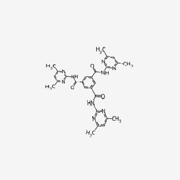 Cc1cc(C)nc(NC(=O)c2cc(C(=O)Nc3nc(C)cc(C)n3)cc(C(=O)Nc3nc(C)cc(C)n3)c2)n1